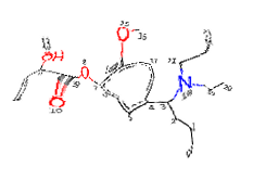 CCCC(c1ccc(OC(=O)C(C)O)c(OC)c1)N(CC)CC